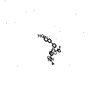 O=C(C1CC2(F)CC1C2)N(CC12CCC(c3nc(C4CC4)no3)(CC1)CC2)c1cccc(-c2ccc3nc(O)ccc3c2)c1